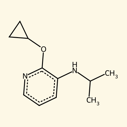 CC(C)Nc1cccnc1OC1CC1